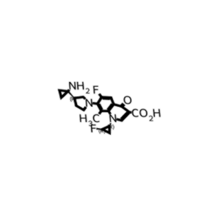 Cc1c(N2CC[C@@H](C3(N)CC3)C2)c(F)cc2c(=O)c(C(=O)O)cn([C@@H]3C[C@H]3F)c12